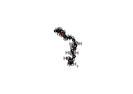 CC(c1ccc(O)c(NC(=O)c2cccc(C(=O)Nc3cc(C(c4ccc(O)c(NC(=O)c5ccc(Oc6ccc(C(=O)Nc7cc(C(c8ccc(O)c(N9C(=O)C%10C%11C=CC(C%11)C%10C9=O)c8)(C(F)(F)F)C(F)(F)F)ccc7O)cc6)cc5)c4)(C(F)(F)F)C(F)(F)F)ccc3O)c2)c1)(C(F)(F)F)C(F)(F)F